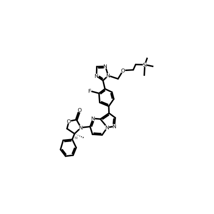 C[C@]1(c2ccccc2)COC(=O)N1c1ccn2ncc(-c3ccc(-c4ncnn4COCC[Si](C)(C)C)c(F)c3)c2n1